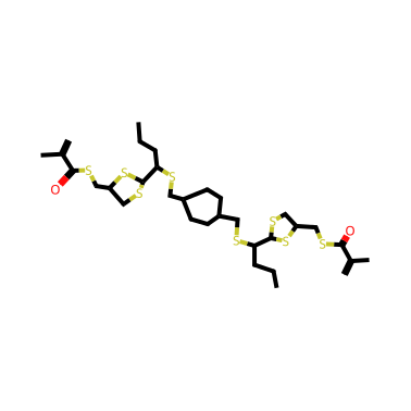 C=C(C)C(=O)SCC1CSC(C(CCC)SCC2CCC(CSC(CCC)C3SCC(CSC(=O)C(=C)C)S3)CC2)S1